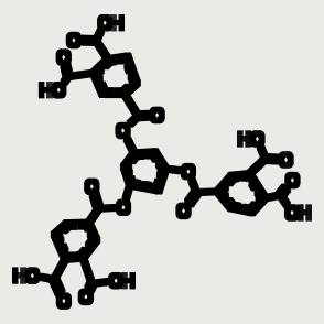 O=C(Oc1cc(OC(=O)c2ccc(C(=O)O)c(C(=O)O)c2)cc(OC(=O)c2ccc(C(=O)O)c(C(=O)O)c2)c1)c1ccc(C(=O)O)c(C(=O)O)c1